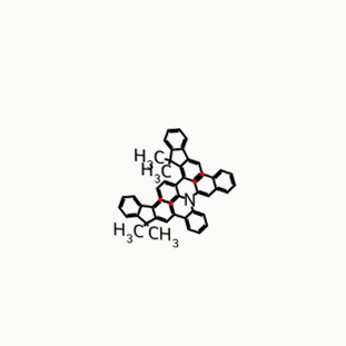 CC1(C)c2ccccc2-c2ccc(-c3ccccc3N(c3ccc4ccccc4c3)c3ccccc3-c3cccc4c3C(C)(C)c3ccccc3-4)cc21